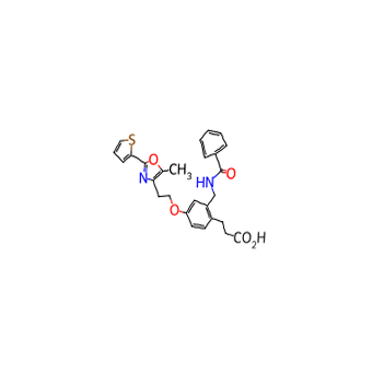 Cc1oc(-c2cccs2)nc1CCOc1ccc(CCC(=O)O)c(CNC(=O)c2ccccc2)c1